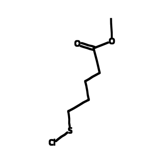 COC(=O)CCCCSCl